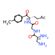 CC(=O)CC[C@H](NC(=O)CNC(=O)[C@@H](N)CN)C(=O)c1ccc(C)cc1